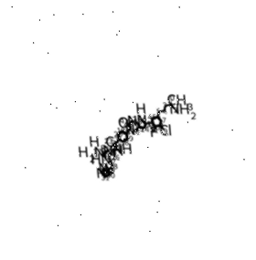 C[C@H](N)CCCc1cc(Cl)c(F)c(-c2cc3cn(-c4ccc([C@H](C)NCC[C@H](Cn5ccnn5)NC(=N)N)cc4)c(=O)nc3[nH]2)c1